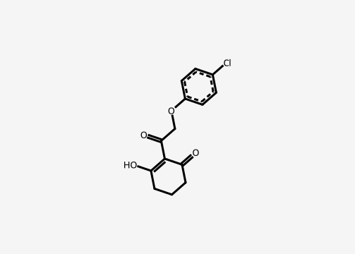 O=C1CCCC(O)=C1C(=O)COc1ccc(Cl)cc1